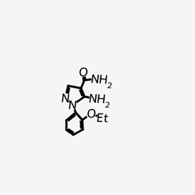 CCOc1ccccc1-n1ncc(C(N)=O)c1N